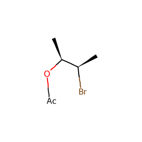 CC(=O)O[C@@H](C)[C@@H](C)Br